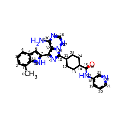 Cc1cccc2cc(-c3nc(C4CCC(C(=O)Nc5cccnc5)CC4)n4ncnc(N)c34)[nH]c12